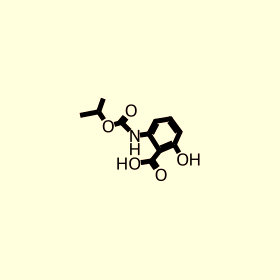 CC(C)OC(=O)Nc1cccc(O)c1C(=O)O